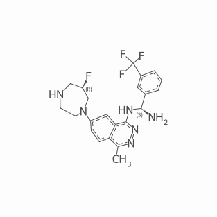 Cc1nnc(N[C@H](N)c2cccc(C(F)(F)F)c2)c2cc(N3CCNC[C@@H](F)C3)ccc12